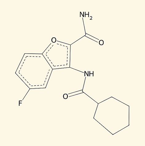 NC(=O)c1oc2ccc(F)cc2c1NC(=O)C1CCCCC1